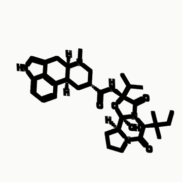 CCC(C)(C)[C@H]1C(=O)N2CCC[C@H]2[C@@]2(O)O[C@](NC(=O)[C@@H]3C[C@H]4c5cccc6[nH]cc(c56)C[C@H]4N(C)C3)(C(C)C)C(=O)N12